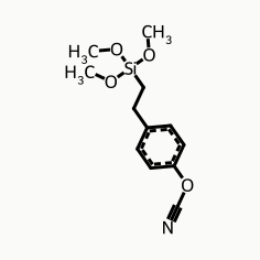 CO[Si](CCc1ccc(OC#N)cc1)(OC)OC